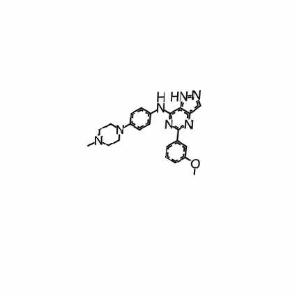 COc1cccc(-c2nc(Nc3ccc(N4CCN(C)CC4)cc3)c3[nH]ncc3n2)c1